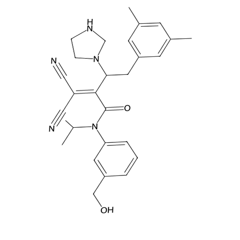 Cc1cc(C)cc(CC(C(C(=O)N(c2cccc(CO)c2)C(C)C)=C(C#N)C#N)N2CCNC2)c1